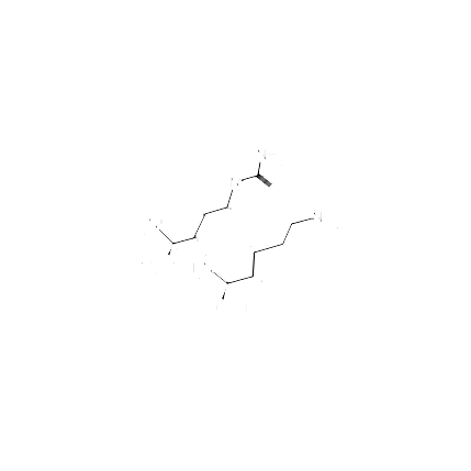 NC(=O)NCCC[C@H](N)C(=O)O.NCCCC[C@H](N)C(=O)O